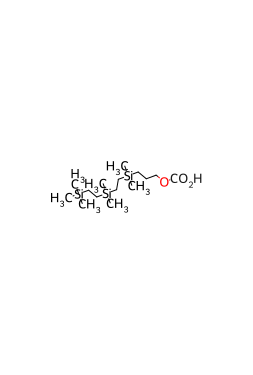 C[Si](C)(C)CC[Si](C)(C)CC[Si](C)(C)CCCOC(=O)O